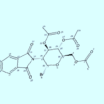 CC(=O)OC[C@H]1O[C@H](Br)[C@H](N2C(=O)c3ccccc3C2=O)[C@@H](OC(C)=O)[C@@H]1OC(C)=O